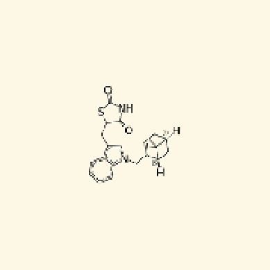 CC1(C)[C@H]2CC=C(Cn3cc(CC4SC(=O)NC4=O)c4ccccc43)[C@H]1C2